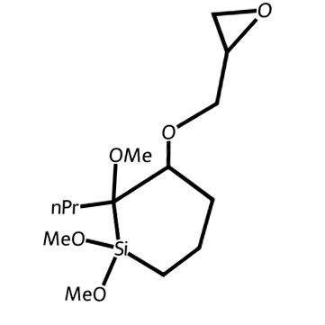 CCCC1(OC)C(OCC2CO2)CCC[Si]1(OC)OC